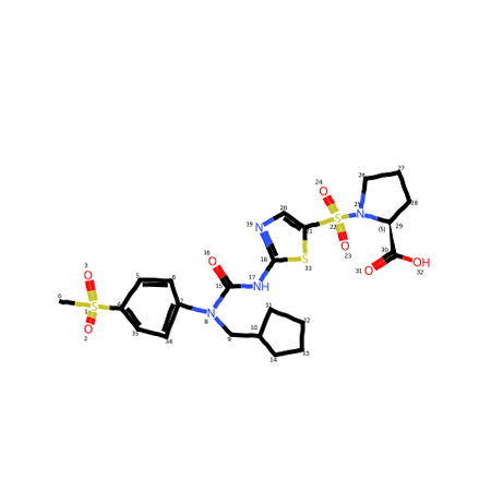 CS(=O)(=O)c1ccc(N(CC2CCCC2)C(=O)Nc2ncc(S(=O)(=O)N3CCC[C@H]3C(=O)O)s2)cc1